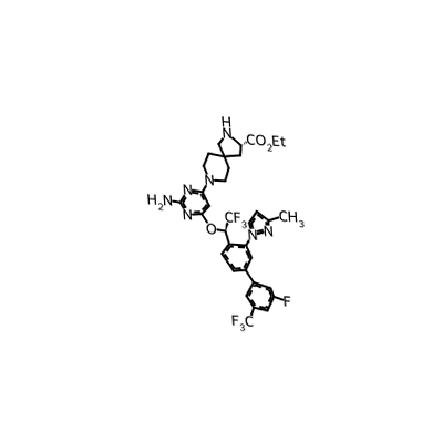 CCOC(=O)[C@@H]1CC2(CCN(c3cc(O[C@H](c4ccc(-c5cc(F)cc(C(F)(F)F)c5)cc4-n4ccc(C)n4)C(F)(F)F)nc(N)n3)CC2)CN1